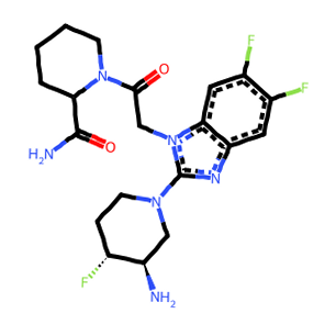 NC(=O)C1CCCCN1C(=O)Cn1c(N2CC[C@@H](F)[C@H](N)C2)nc2cc(F)c(F)cc21